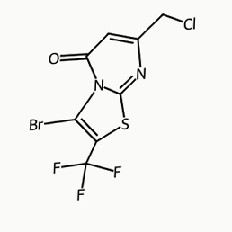 O=c1cc(CCl)nc2sc(C(F)(F)F)c(Br)n12